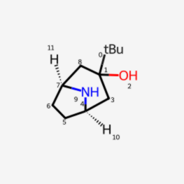 CC(C)(C)C1(O)C[C@H]2CC[C@@H](C1)N2